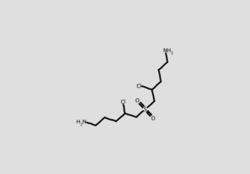 NCCCC(Cl)CS(=O)(=O)CC(Cl)CCCN